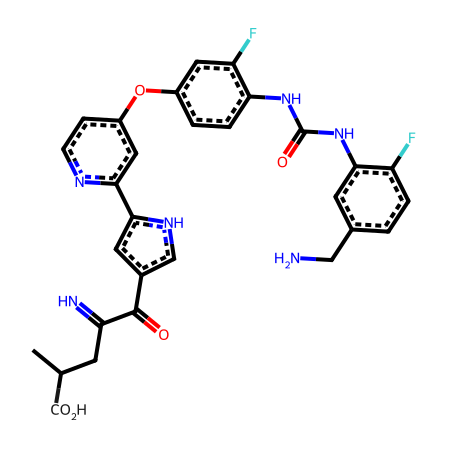 CC(CC(=N)C(=O)c1c[nH]c(-c2cc(Oc3ccc(NC(=O)Nc4cc(CN)ccc4F)c(F)c3)ccn2)c1)C(=O)O